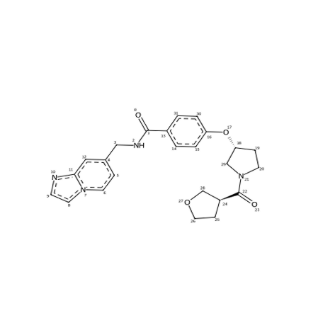 O=C(NCc1ccn2ccnc2c1)c1ccc(O[C@@H]2CCN(C(=O)[C@H]3CCOC3)C2)cc1